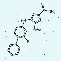 CSc1sc(C(N)=O)cc1Nc1ccc(-c2ccccc2)c(F)c1